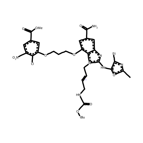 CCc1nc(C)oc1Nc1nc2cc(C(N)=O)cc(OCCCOc3cc(C(=O)OC)cc([N+](=O)[O-])c3Cl)c2n1C/C=C/CNC(=O)OC(C)(C)C